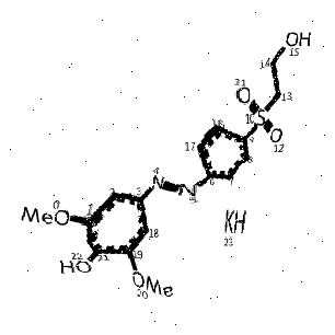 COc1cc(N=Nc2ccc(S(=O)(=O)CCO)cc2)cc(OC)c1O.[KH]